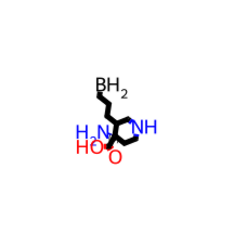 BCCCC1CNCC[C@@]1(N)C(=O)O